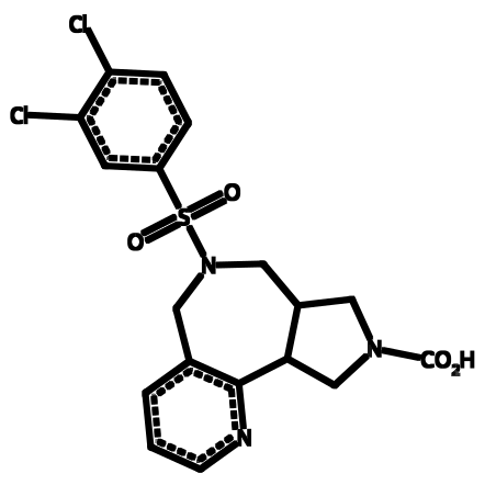 O=C(O)N1CC2CN(S(=O)(=O)c3ccc(Cl)c(Cl)c3)Cc3cccnc3C2C1